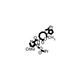 COc1ccnc(C(=O)N[C@H]2CCC[C@H](CCC(C)C)[C@@H](C3CCCC3)[C@H](C)OC2=O)c1OCOC(=O)C(C)C